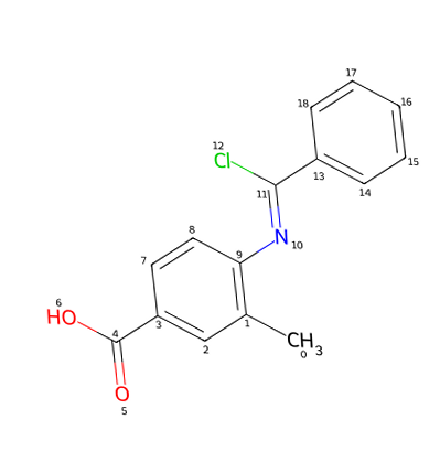 Cc1cc(C(=O)O)ccc1N=C(Cl)c1ccccc1